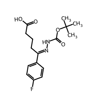 CC(C)(C)OC(=O)N/N=C(\CCCC(=O)O)c1ccc(F)cc1